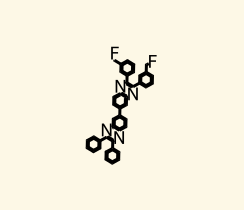 FCc1cccc(-c2nc3ccc(-c4ccc5nc(-c6ccccc6)c(-c6ccccc6)nc5c4)cc3nc2-c2cccc(CF)c2)c1